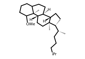 COC1CCCC2CC[C@@H]3[C@H](CC[C@]4(C)[C@@H]([C@H](C)CCCC(C)C)CC[C@@H]34)[C@]21C